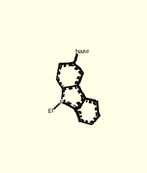 CCn1c2ccccc2c2cc(NC)ccc21